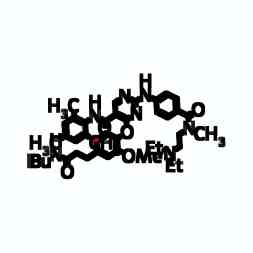 CC[C@@H](C)NC(=O)CCc1ccc(Oc2nc(Nc3ccc(C(=O)N(C)CCN(CC)CC)cc3)ncc2C(=O)Nc2c(C)cc(C)cc2C)c(OC)c1